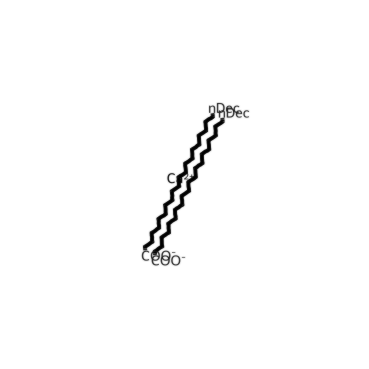 CCCCCCCCCCCCCCCCCCCCCCCCCCCCCCC(=O)[O-].CCCCCCCCCCCCCCCCCCCCCCCCCCCCCCC(=O)[O-].[Ca+2]